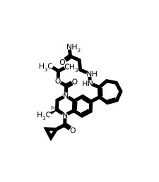 CC(C)OC(=O)N1C[C@H](C)N(C(=O)C2CC2)c2ccc(C3=C(NNCCC(N)=O)CCCC=C3)cc21